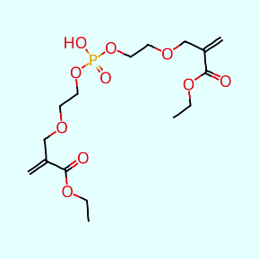 C=C(COCCOP(=O)(O)OCCOCC(=C)C(=O)OCC)C(=O)OCC